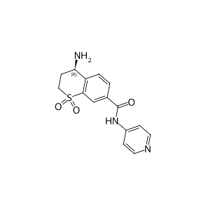 N[C@@H]1CCS(=O)(=O)c2cc(C(=O)Nc3ccncc3)ccc21